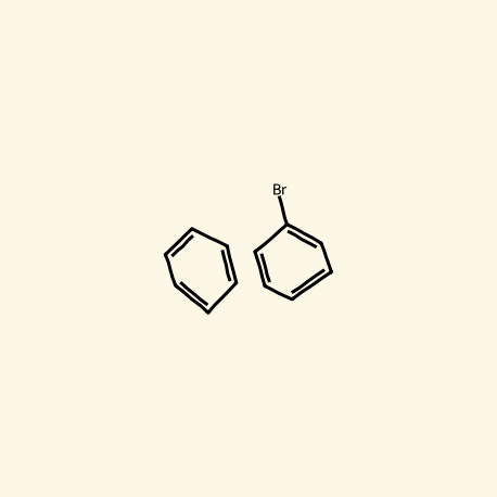 Brc1ccccc1.c1ccccc1